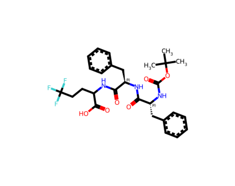 CC(C)(C)OC(=O)N[C@H](Cc1ccccc1)C(=O)N[C@H](Cc1ccccc1)C(=O)NC(CCC(F)(F)F)C(=O)O